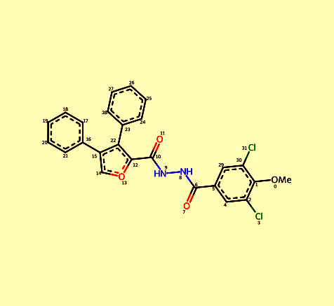 COc1c(Cl)cc(C(=O)NNC(=O)c2occ(-c3ccccc3)c2-c2ccccc2)cc1Cl